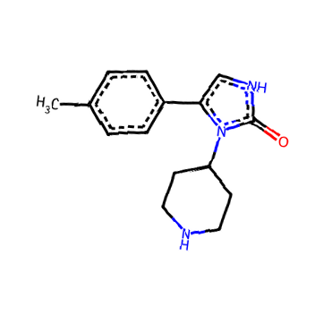 Cc1ccc(-c2c[nH]c(=O)n2C2CCNCC2)cc1